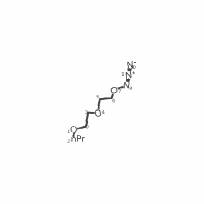 CCCOCCOCCON=[N+]=[N-]